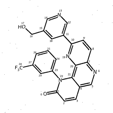 O=c1ccc2cnc3ccc(-c4cncc(CO)c4)nc3c2n1-c1cccc(C(F)(F)F)c1